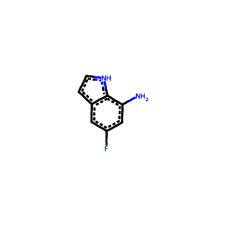 Nc1cc(F)cc2cc[nH]c12